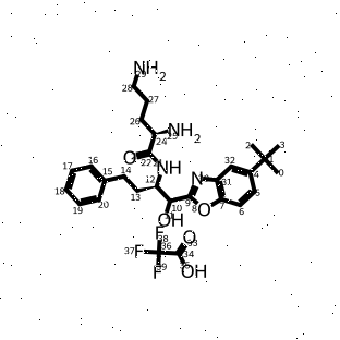 CC(C)(C)c1ccc2oc(C(O)[C@@H](CCc3ccccc3)NC(=O)[C@H](N)CCCN)nc2c1.O=C(O)C(F)(F)F